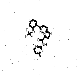 Cc1ccnc(NC(=O)c2cnc3ccc(-c4ccccc4OC(F)(F)F)nn23)n1